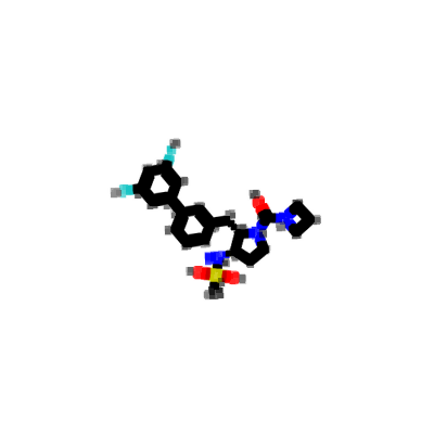 CCS(=O)(=O)N[C@H]1CCN(C(=O)N2CCC2)[C@H]1Cc1cccc(-c2cc(F)cc(F)c2)c1